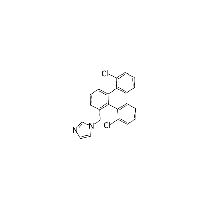 Clc1ccccc1-c1cccc(Cn2ccnc2)c1-c1ccccc1Cl